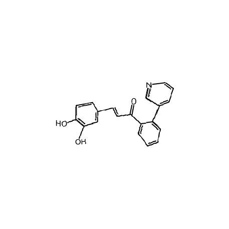 O=C(C=Cc1ccc(O)c(O)c1)c1ccccc1-c1cccnc1